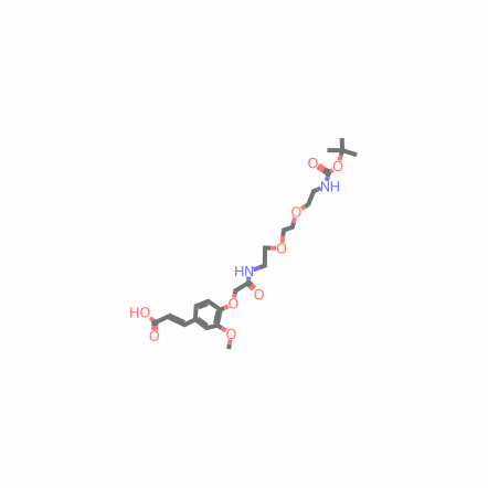 COc1cc(/C=C/C(=O)O)ccc1OCC(=O)NCCOCCOCCNC(=O)OC(C)(C)C